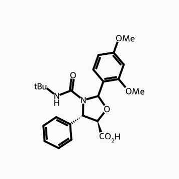 COc1ccc(C2O[C@@H](C(=O)O)[C@H](c3ccccc3)N2C(=O)NC(C)(C)C)c(OC)c1